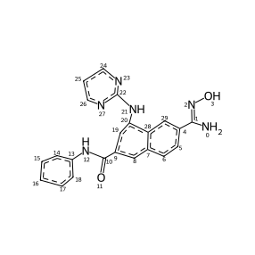 NC(=NO)c1ccc2cc(C(=O)Nc3ccccc3)cc(Nc3ncccn3)c2c1